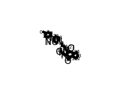 Cc1ccc(N2CCN(CCCn3c4c(n[n+]3[O-])C(=O)c3ccccc3C4=O)CC2)c([N+](=O)[O-])c1